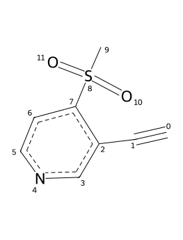 C#Cc1cnccc1S(C)(=O)=O